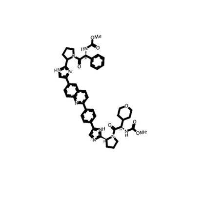 COC(=O)N[C@H](C(=O)N1CCC[C@H]1c1ncc(-c2ccc(-c3ccc4cc(-c5c[nH]c(C6CCCN6C(=O)[C@H](NC(=O)OC)c6ccccc6)n5)ccc4n3)cc2)[nH]1)C1CCOCC1